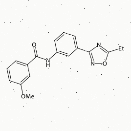 CCc1nc(-c2cccc(NC(=O)c3cccc(OC)c3)c2)no1